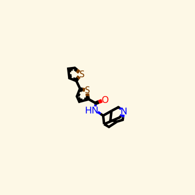 O=C(NC1C2CC3CC1CN(C3)C2)c1ccc(-c2cccs2)s1